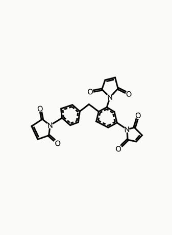 O=C1C=CC(=O)N1c1ccc(Cc2ccc(N3C(=O)C=CC3=O)cc2N2C(=O)C=CC2=O)cc1